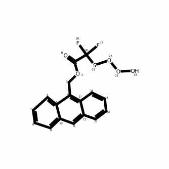 O=C(OCc1c2ccccc2cc2ccccc12)C(F)(F)SOOO